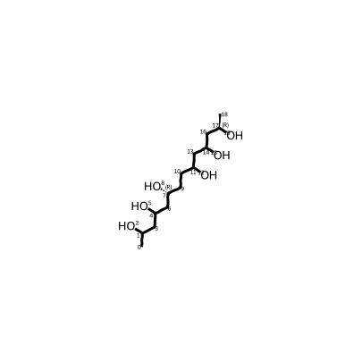 CC(O)CC(O)C[C@H](O)CCC(O)CC(O)C[C@@H](C)O